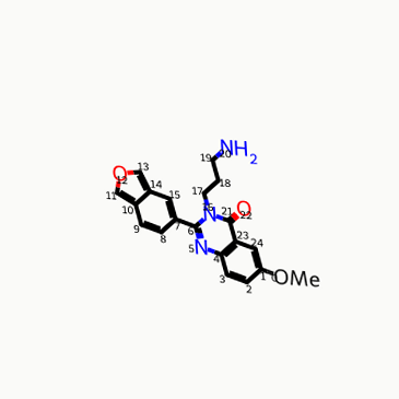 COc1ccc2nc(-c3ccc4cocc4c3)n(CCCN)c(=O)c2c1